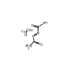 NC(=O)/N=N/C(N)=O.O=C([O-])[O-].[Ca+2]